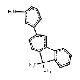 CC1(C)c2ccccc2-c2cc(-c3cccc(N)c3)ccc21